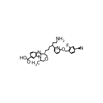 C[C@@H]1COC[C@H](CCCC(CCN)c2cccc(OCc3ccc(C#N)cc3F)n2)c2nc3ccc(C(=O)O)cc3n21